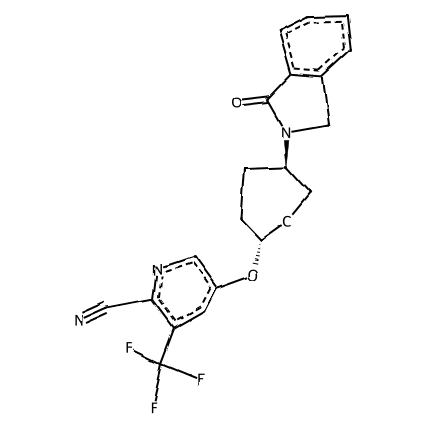 N#Cc1ncc(O[C@H]2CC[C@H](N3Cc4ccccc4C3=O)CC2)cc1C(F)(F)F